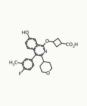 Cc1cc(-c2c(C3CCOCC3)nc(OC3CC(C(=O)O)C3)c3cc(O)ccc23)ccc1F